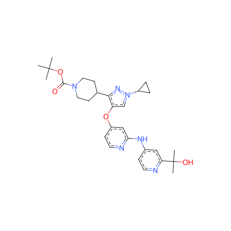 CC(C)(C)OC(=O)N1CCC(c2nn(C3CC3)cc2Oc2ccnc(Nc3ccnc(C(C)(C)O)c3)c2)CC1